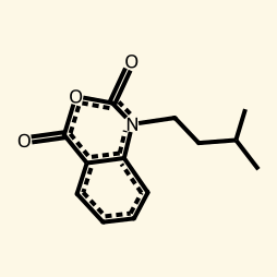 CC(C)CCn1c(=O)oc(=O)c2ccccc21